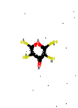 O=c1c(S)c(S)oc(S)c1S